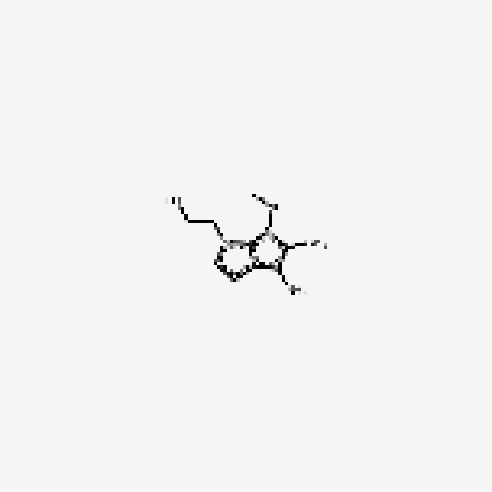 CNn1c(N)c(N)c2ccn(CCO)c21